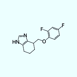 Fc1ccc(OCC2CCCc3[nH]cnc32)c(F)c1